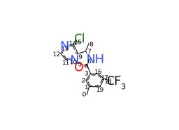 Cc1cc(C(=O)NC(C)c2nccnc2Cl)cc(C(F)(F)F)c1